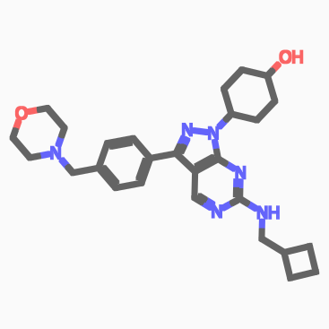 OC1CCC(n2nc(-c3ccc(CN4CCOCC4)cc3)c3cnc(NCC4CCC4)nc32)CC1